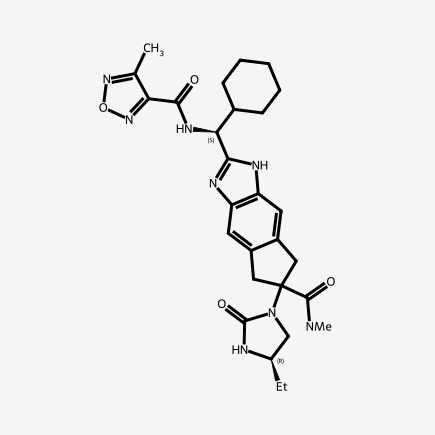 CC[C@@H]1CN(C2(C(=O)NC)Cc3cc4nc([C@@H](NC(=O)c5nonc5C)C5CCCCC5)[nH]c4cc3C2)C(=O)N1